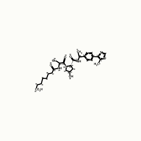 Cc1ncsc1-c1ccc(C(C)NC(=O)[C@@H]2C[C@@H](O)CN2C(=O)C(NC(=O)CCCCCCC(=O)O)C(C)(C)C)cc1